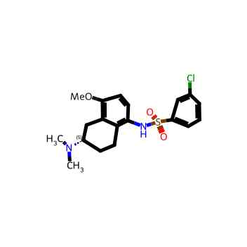 COc1ccc(NS(=O)(=O)c2cccc(Cl)c2)c2c1C[C@@H](N(C)C)CC2